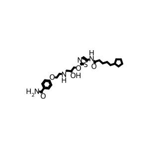 NC(=O)c1ccc(OCCNCC(O)COc2ncc(NC(=O)CCCCC3CCCC3)s2)cc1